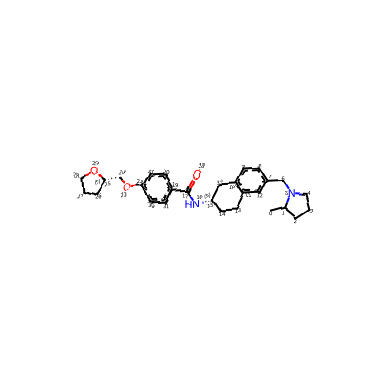 CC1CCCN1Cc1ccc2c(c1)CC[C@H](NC(=O)c1ccc(OC[C@@H]3CCCO3)cc1)C2